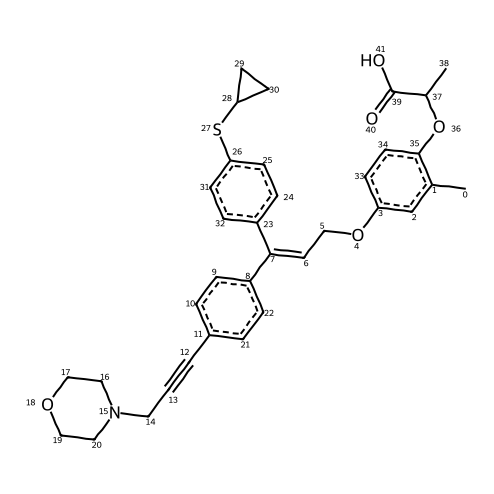 Cc1cc(OC/C=C(/c2ccc(C#CCN3CCOCC3)cc2)c2ccc(SC3CC3)cc2)ccc1OC(C)C(=O)O